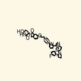 O=C1NC(O)CCC1N1Cc2ccc(OCCN3CCN(c4cccc(-c5cnc6ccc(N7CCC[C@@H]7c7cccc(F)c7)nn56)n4)CC3)cc2C1=O